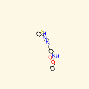 O=C(COCc1ccccc1)Nc1ccc(CCN2CCN(c3nsc4ccccc34)CC2)cc1